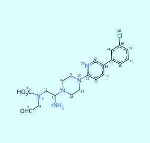 NC(CN(CC=O)C(=O)O)N1CCN(c2ccc(-c3cccc(Cl)c3)cn2)CC1